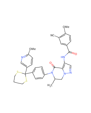 COc1ccc(C2(c3ccc(N4C(=O)c5c(NC(=O)c6ccc(OC)c(C#N)c6)cnn5CC4C)cc3)SCCCS2)cn1